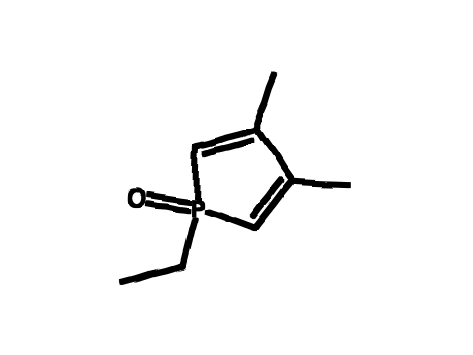 CCP1(=O)C=C(C)C(C)=C1